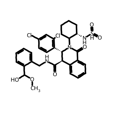 COC(O)c1ccccc1CNC(=O)[C@@H]1c2ccccc2C(=O)N(C2CCCC[C@@H]2N[SH](=O)=O)[C@H]1c1ccc(Cl)cc1Cl